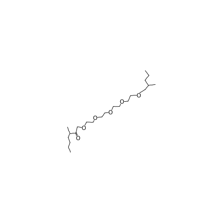 CCCCC(C)C(=O)COCCOCCOCCOCCOCCC(C)CCC